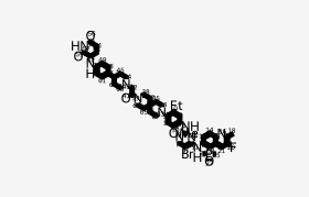 CCc1cc(Nc2ncc(Br)c(Nc3ccc4nc(C)c(F)cc4c3P(C)(C)=O)n2)c(OC)cc1N1CCC2(CCN(C(=O)CN3CCC(c4ccc(NC5CCC(=O)NC5=O)cc4)CC3)CC2)CC1